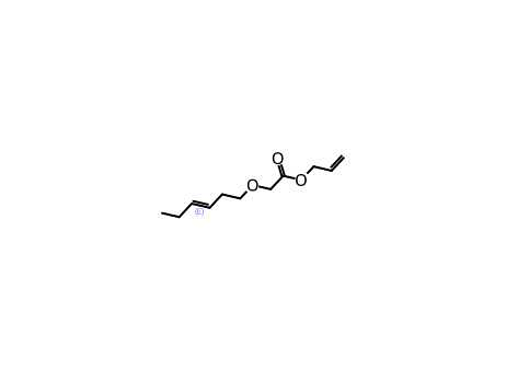 C=CCOC(=O)COCC/C=C/CC